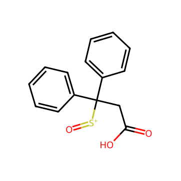 O=[S+]C(CC(=O)O)(c1ccccc1)c1ccccc1